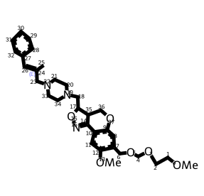 COCCOCOCc1cc2c(cc1OC)C1=NOC(CN3CCN(C/C(C)=C/c4ccccc4)CC3)C1CO2